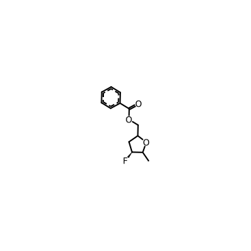 CC1OC(COC(=O)c2ccccc2)C[C@@H]1F